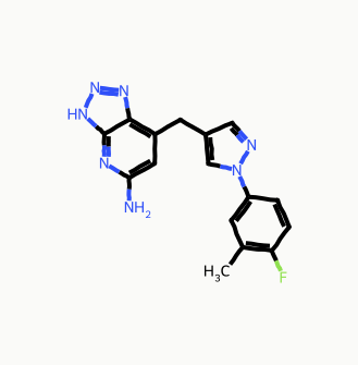 Cc1cc(-n2cc(Cc3cc(N)nc4[nH]nnc34)cn2)ccc1F